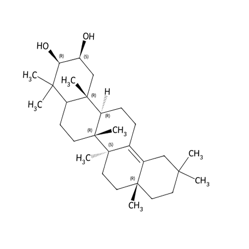 CC1(C)CC[C@]2(C)CC[C@]3(C)C(=C2C1)CC[C@@H]1[C@@]2(C)C[C@H](O)[C@H](O)C(C)(C)C2CC[C@]13C